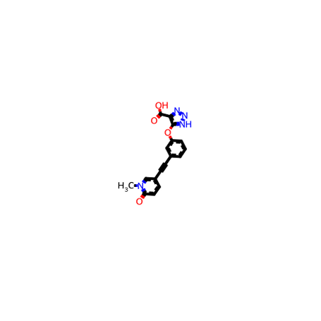 Cn1cc(C#Cc2cccc(Oc3[nH]nnc3C(=O)O)c2)ccc1=O